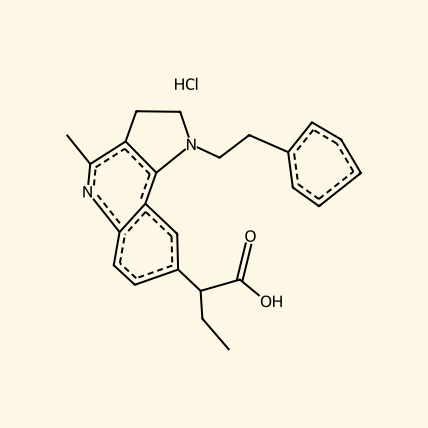 CCC(C(=O)O)c1ccc2nc(C)c3c(c2c1)N(CCc1ccccc1)CC3.Cl